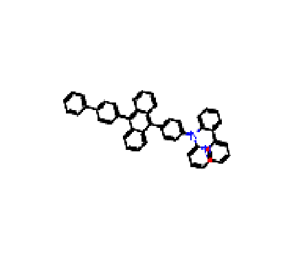 c1ccc(-c2ccc(-c3c4ccccc4c(-c4ccc(N(c5ccccn5)c5ccccc5-c5ccccc5)cc4)c4ccccc34)cc2)cc1